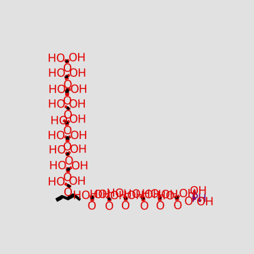 C=CC=CC.O=C(O)O.O=C(O)O.O=C(O)O.O=C(O)O.O=C(O)O.O=C(O)O.O=C(O)O.O=C(O)O.O=C(O)O.O=C(O)O.O=C(O)O.O=C(O)O.O=C(O)O.O=C(O)O.O=C(O)O.O=[PH](O)O